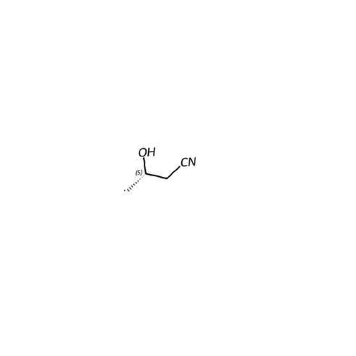 [CH2][C@H](O)CC#N